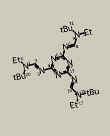 CCN(C=Nc1nc(N=CN(CC)C(C)(C)C)nc(N=CN(CC)C(C)(C)C)n1)C(C)(C)C